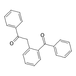 O=C(Cc1ccccc1C(=O)c1ccccc1)c1ccccc1